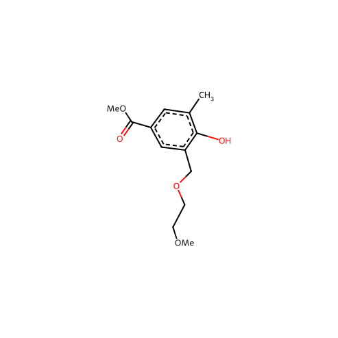 COCCOCc1cc(C(=O)OC)cc(C)c1O